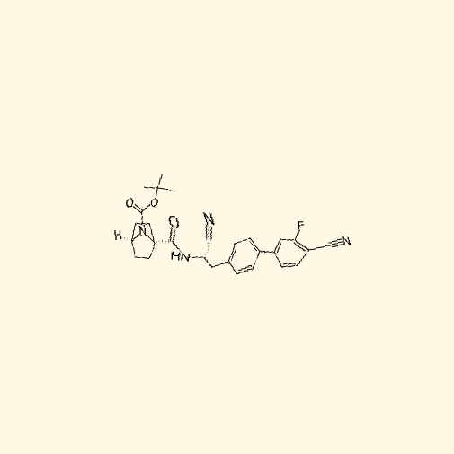 CC(C)(C)OC(=O)N1[C@H]2CC[C@]1(C(=O)N[C@H](C#N)Cc1ccc(-c3ccc(C#N)c(F)c3)cc1)CC2